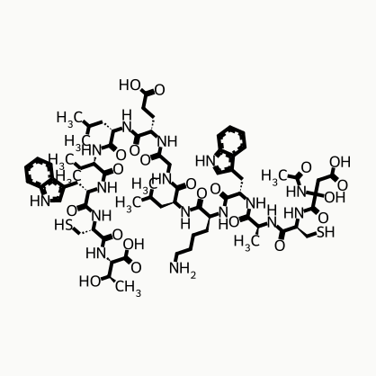 CC(=O)NC(O)(CC(=O)O)C(=O)N[C@@H](CS)C(=O)N[C@@H](C)C(=O)N[C@@H](Cc1c[nH]c2ccccc12)C(=O)N[C@@H](CCCCN)C(=O)N[C@@H](CC(C)C)C(=O)NCC(=O)N[C@@H](CCC(=O)O)C(=O)N[C@@H](CC(C)C)C(=O)N[C@H](C(=O)N[C@@H](Cc1c[nH]c2ccccc12)C(=O)N[C@@H](CS)C(=O)N[C@H](C(=O)O)[C@@H](C)O)C(C)C